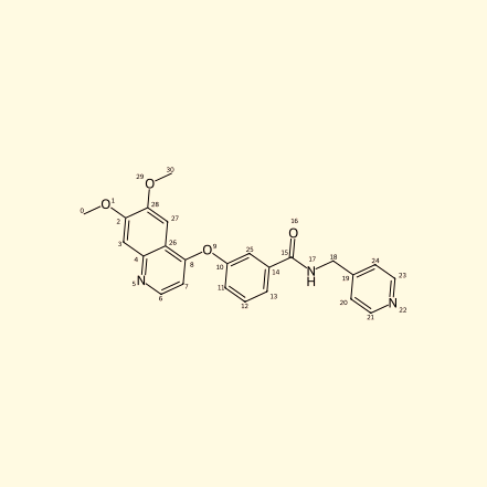 COc1cc2nccc(Oc3cccc(C(=O)NCc4ccncc4)c3)c2cc1OC